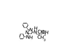 CC(C)(CO)CNc1cc(Nc2ccccc2)nc(-c2ccccc2)n1